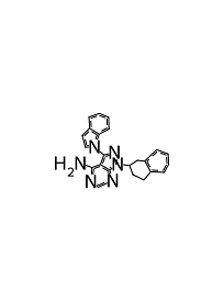 Nc1ncnc2c1c(-n1ccc3ccccc31)nn2C1CCc2ccccc2C1